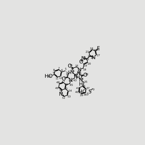 CS(=O)(=O)O.O=C1[C@H](Cc2ccc(O)cc2)N2C(=O)CN(Cc3cc(-c4ccc(F)cn4)no3)N(C(=O)NCc3ccccc3)[C@H]2CN1Cc1cccc2ncccc12